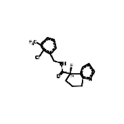 O=C(NCc1cccc(C(F)(F)F)c1Cl)[C@@]1(F)CCCc2ncccc21